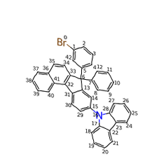 Brc1cccc(C2(c3ccccc3)c3cc(-n4c5ccccc5c5ccccc54)ccc3-c3c2ccc2ccccc32)c1